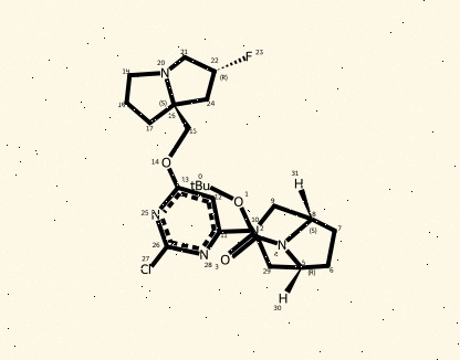 CC(C)(C)OC(=O)N1[C@@H]2CC[C@H]1CN(c1cc(OC[C@@]34CCCN3C[C@H](F)C4)nc(Cl)n1)C2